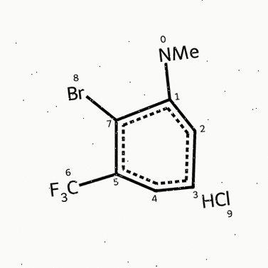 CNc1cccc(C(F)(F)F)c1Br.Cl